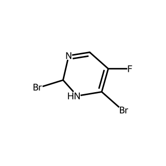 FC1=C(Br)NC(Br)N=C1